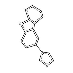 c1ccc2c(c1)oc1ccc(-n3ccnc3)cc12